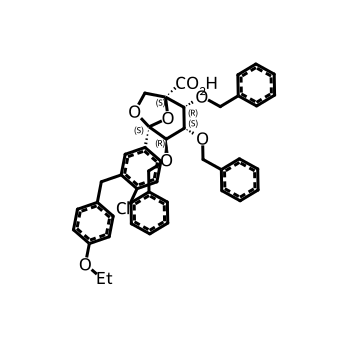 CCOc1ccc(Cc2cc([C@]34OC[C@](C(=O)O)(O3)[C@H](OCc3ccccc3)[C@H](OCc3ccccc3)[C@H]4OCc3ccccc3)ccc2Cl)cc1